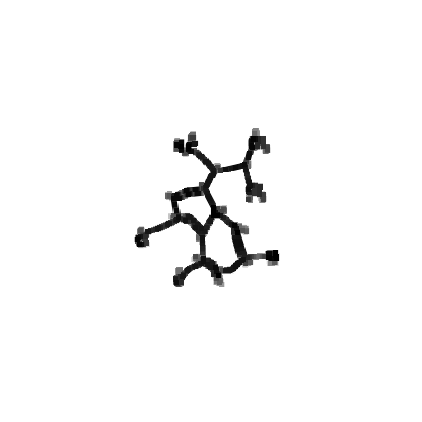 CC(C)C(C)c1cc(Cl)c2c(Cl)nc(Cl)nn12